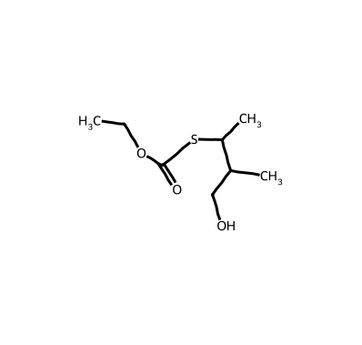 CCOC(=O)SC(C)C(C)CO